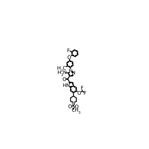 Cc1cc(Oc2ccccc2F)ccc1-n1ncc(C(=O)c2cc3cc(OC(F)F)c(C4CCN(S(C)(=O)=O)CC4)cc3[nH]2)c1N